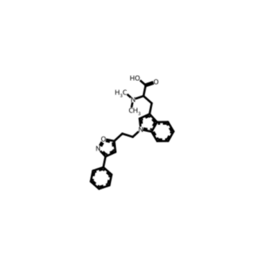 CN(C)C(Cc1cn(CCc2cc(-c3ccccc3)no2)c2ccccc12)C(=O)O